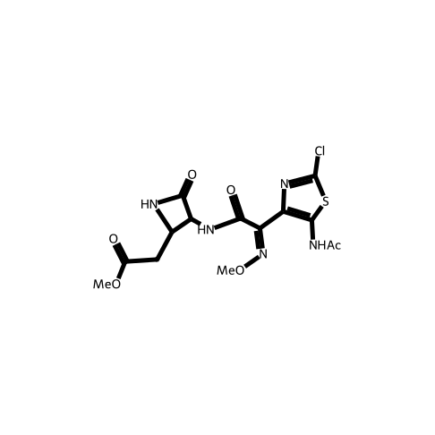 CON=C(C(=O)NC1C(=O)NC1CC(=O)OC)c1nc(Cl)sc1NC(C)=O